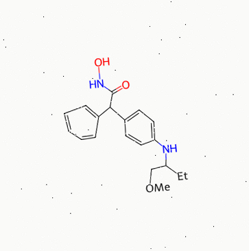 CCC(COC)Nc1ccc(C(C(=O)NO)c2ccccc2)cc1